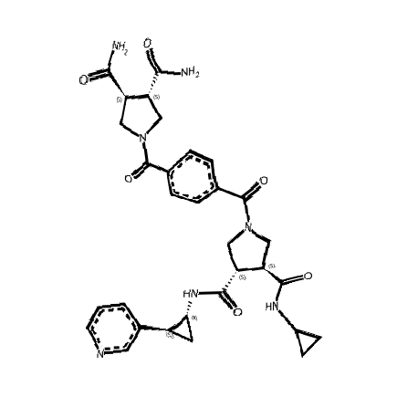 NC(=O)[C@@H]1CN(C(=O)c2ccc(C(=O)N3C[C@@H](C(=O)NC4CC4)[C@H](C(=O)N[C@@H]4C[C@H]4c4cccnc4)C3)cc2)C[C@H]1C(N)=O